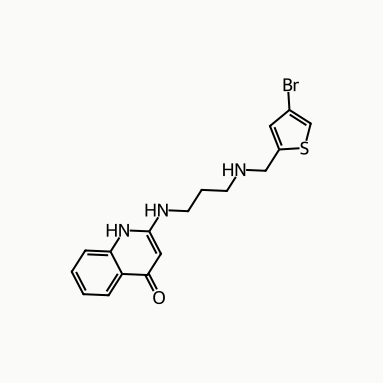 O=c1cc(NCCCNCc2cc(Br)cs2)[nH]c2ccccc12